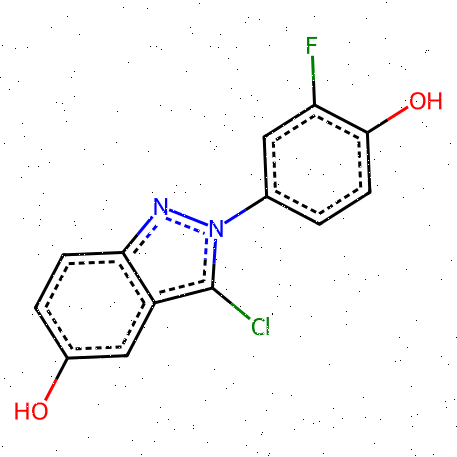 Oc1ccc2nn(-c3ccc(O)c(F)c3)c(Cl)c2c1